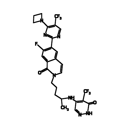 CC(CCCn1ccc2cc(-c3ncc(C(F)(F)F)c(N4CCC4)n3)c(F)cc2c1=O)Nc1cn[nH]c(=O)c1C(F)(F)F